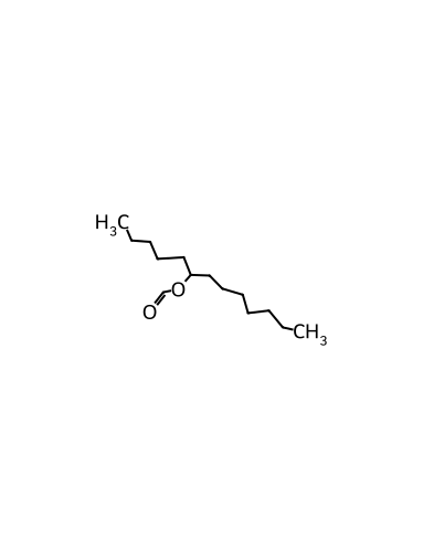 CCCCCCCC(CCCCC)OC=O